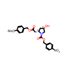 COc1ccc(COC(=O)C[C@@H]2C[C@@H](O)CN2C(=O)OCc2ccc([N+](=O)[O-])cc2)cc1